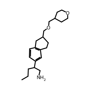 CCCC(CN)c1ccc2c(c1)CCC(COCC1CCOCC1)C2